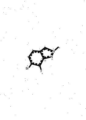 Cn1cc2ccc(Br)c(F)c2n1